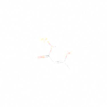 C/C(O)=C/C(=O)OP